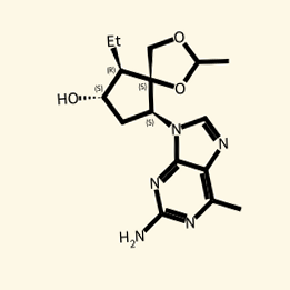 CC[C@@H]1[C@@H](O)C[C@H](n2cnc3c(C)nc(N)nc32)[C@]12COC(C)O2